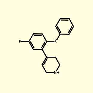 Fc1ccc(Sc2ccccc2)c(C2=CCNCC2)c1